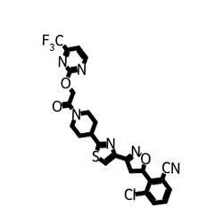 N#Cc1cccc(Cl)c1C1CC(c2csc(C3CCN(C(=O)COc4nccc(C(F)(F)F)n4)CC3)n2)=NO1